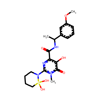 COc1cccc(C(C)NC(=O)c2nc(N3CCCCS3(O)O)n(C)c(=O)c2O)c1